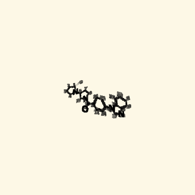 C[C@H]1CCCN1[C@H]1CCN(C(=O)c2ccc(-n3cnc4ccccc43)cc2)C1